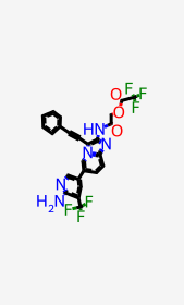 Nc1ncc(-c2ccc3nc(NC(=O)COC(=O)C(F)(F)F)c(C#Cc4ccccc4)n3c2)cc1C(F)(F)F